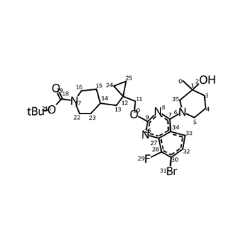 CC1(O)CCCN(c2nc(OCC3(CC4CCN(C(=O)OC(C)(C)C)CC4)CC3)nc3c(F)c(Br)ccc23)C1